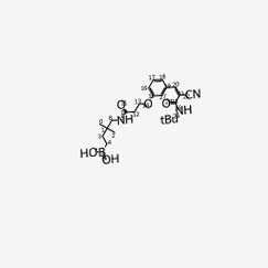 CC(C)(CCB(O)O)CNC(=O)CCOc1cccc(C=C(C#N)C(=O)NC(C)(C)C)c1